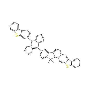 CC1(C)c2ccc(-c3c4ccccc4c(-c4ccc5c(c4)sc4ccccc45)c4ccccc34)cc2-c2ccc3cc4c(cc3c21)sc1ccccc14